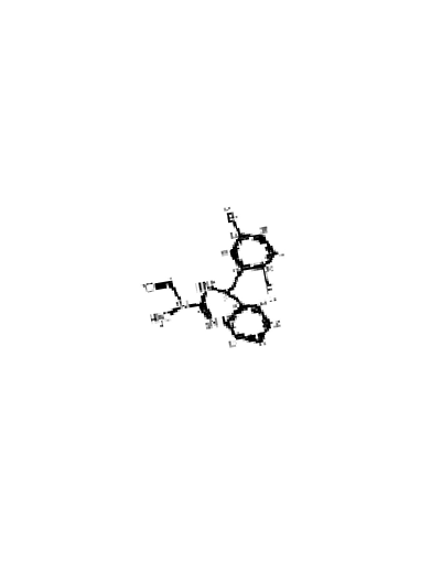 CN(C=O)C(=N)NC(c1ccccc1)c1cc(Br)ccc1F